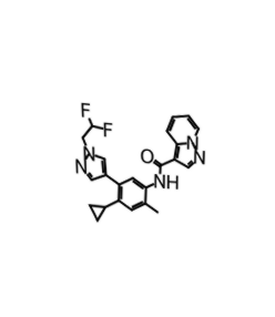 Cc1cc(C2CC2)c(-c2cnn(CC(F)F)c2)cc1NC(=O)c1cnn2ccccc12